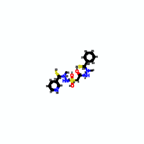 CN(NC(=O)CS(=O)(=O)NN(C)C(=S)c1cccnc1)C(=S)c1ccccc1